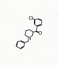 O=C(c1cccc(Cl)c1)C1CCCN(Cc2ccccc2)C1